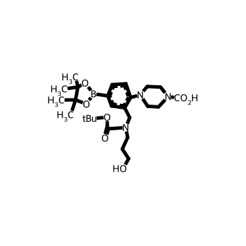 CC(C)(C)OC(=O)N(CCCO)Cc1cc(B2OC(C)(C)C(C)(C)O2)ccc1N1CCN(C(=O)O)CC1